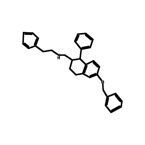 c1ccc(CCNCC2CCc3cc(OCc4ccccc4)ccc3C2c2ccccc2)cc1